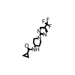 O=C(NC1CCN(c2ncc(C(F)(F)F)cn2)CC1)C1CC1